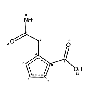 [NH]C(=O)Cc1ccsc1C(=O)O